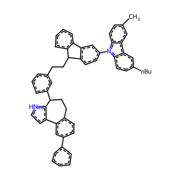 CCCCc1ccc2c(c1)c1cc(C)ccc1n2-c1ccc2c(c1)-c1ccccc1C2CCc1cccc(C2CCc3ccc(-c4ccccc4)cc3-c3cc[nH]c32)c1